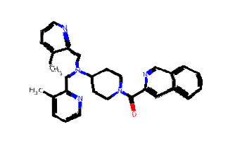 Cc1cccnc1CN(Cc1ncccc1C)C1CCN(C(=O)c2cc3ccccc3cn2)CC1